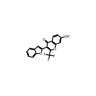 O=c1c(-c2cc3ccccc3o2)c(C(F)(F)F)oc2cc(O)ccc12